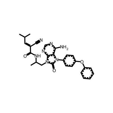 CC(C)C=C(C#N)C(=O)NC(C)Cn1c(=O)n(-c2ccc(Oc3ccccc3)cc2)c2c(N)ncnc21